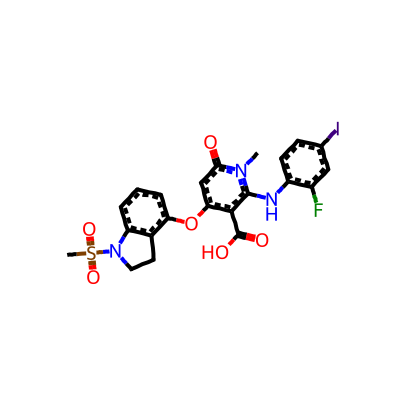 Cn1c(Nc2ccc(I)cc2F)c(C(=O)O)c(Oc2cccc3c2CCN3S(C)(=O)=O)cc1=O